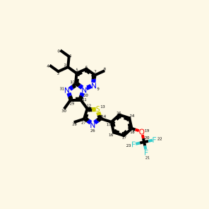 CCC(CC)c1cc(C)nn2c(-c3sc(-c4ccc(OC(F)(F)F)cc4)nc3C)c(C)nc12